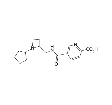 O=C(NCC1CCN1C1CCCC1)c1ccc(C(=O)O)nc1